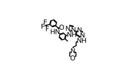 Cc1ccc(NC(=O)c2cccc(C(F)(F)F)c2)cc1Nc1nccn1-c1cc(NCCCN2CCOCC2)ncn1